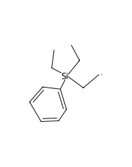 [CH2]C[Si](CC)(CC)c1ccccc1